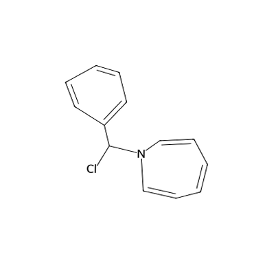 ClC(c1ccccc1)N1C=CC=CC=C1